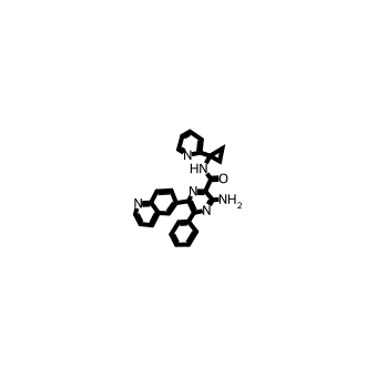 Nc1nc(-c2ccccc2)c(-c2ccc3ncccc3c2)nc1C(=O)NC1(c2ccccn2)CC1